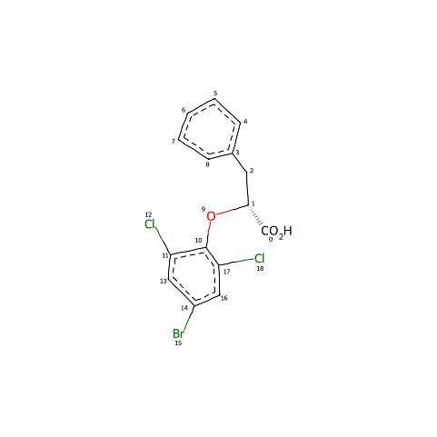 O=C(O)[C@@H](Cc1ccccc1)Oc1c(Cl)cc(Br)cc1Cl